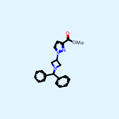 COC(=O)c1ccn(C2CN(C(c3ccccc3)c3ccccc3)C2)n1